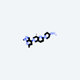 Cc1cc(N2Cc3ccc(N4CCC(N)CC4)nc3[C@@H](C)C2)c2cnn(C)c2n1